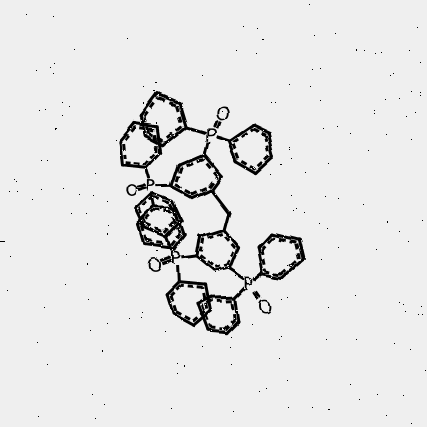 O=P(c1ccccc1)(c1ccccc1)c1cc(Cc2cc(P(=O)(c3ccccc3)c3ccccc3)cc(P(=O)(c3ccccc3)c3ccccc3)c2)cc(P(=O)(c2ccccc2)c2ccccc2)c1